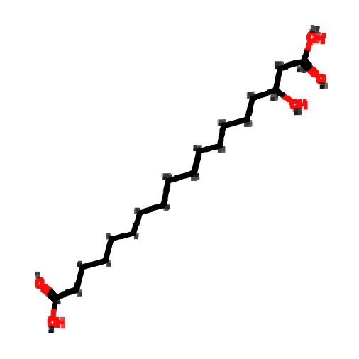 O=C(O)CCCCCCCCCCCCCCC(O)CC(=O)O